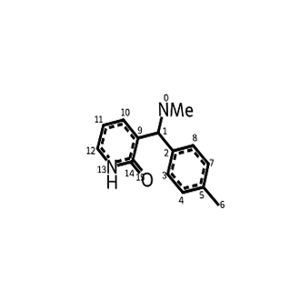 CNC(c1ccc(C)cc1)c1ccc[nH]c1=O